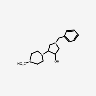 O=C(O)N1CCN(C2CN(Cc3ccccc3)CC2O)CC1